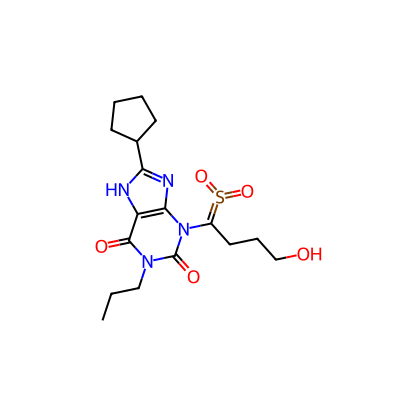 CCCn1c(=O)c2[nH]c(C3CCCC3)nc2n(C(CCCO)=S(=O)=O)c1=O